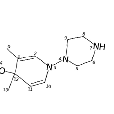 CC1=CN(N2CCNCC2)C=CC1(C)O